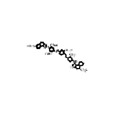 COc1cc(-n2n3c4ccc5cc(S(=O)(=O)O)ccc5c4n23)c(OC)cc1N=Nc1ccc(C=Cc2ccc(NN3CNc4cc(S(=O)(=O)O)c5ccccc5c43)cc2S(=O)(=O)O)c(S(=O)(=O)O)c1